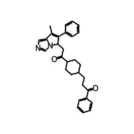 CC1=C(c2ccccc2)C(CC(=O)C2CCC(CCC(=O)c3ccccc3)CC2)n2cncc21